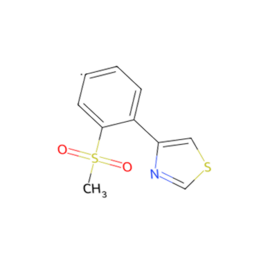 CS(=O)(=O)c1c[c]ccc1-c1cscn1